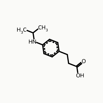 CC(C)Nc1ccc(CCC(=O)O)cc1